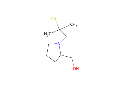 CC(C)(S)CN1CCCC1CO